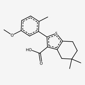 COc1ccc(C)c(-c2sc3c(c2C(=O)O)CC(C)(C)CC3)c1